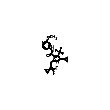 CSc1cc(NC(=O)c2c(C(F)(F)F)c(C3CC3)nn2CC2C(F)(F)C23CC3)ccn1